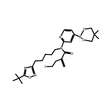 C=C(CCF)C(=O)N(CCCCCc1noc(C(C)(C)C)n1)c1cc(B2OCC(C)(C)CO2)ccn1